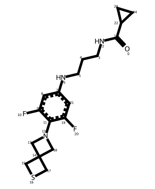 O=C(NCCCNc1cc(F)c(N2CC3(CSC3)C2)c(F)c1)C1CC1